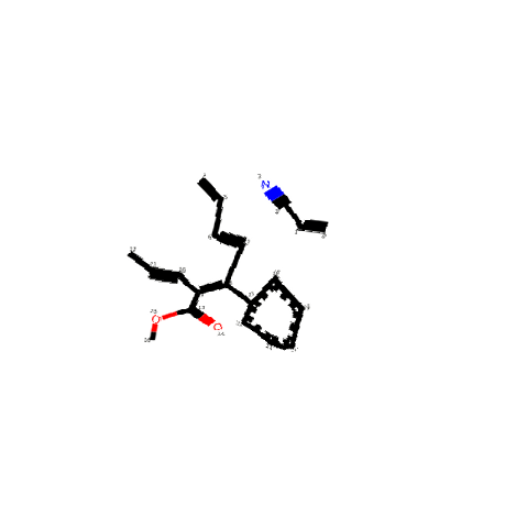 C=CC#N.C=CC=CC(=C(C=CC)C(=O)OC)c1ccccc1